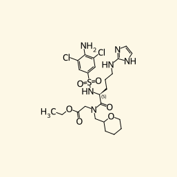 CCOC(=O)CN(CC1CCCCO1)C(=O)[C@H](CCCNc1ncc[nH]1)NS(=O)(=O)c1cc(Cl)c(N)c(Cl)c1